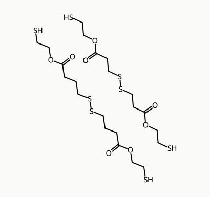 O=C(CCCSSCCCC(=O)OCCS)OCCS.O=C(CCSSCCC(=O)OCCS)OCCS